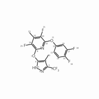 Cc1c(C(F)(F)F)n[nH]c1Oc1nc(Oc2ccc(F)c(F)c2)c(F)c(C)c1F